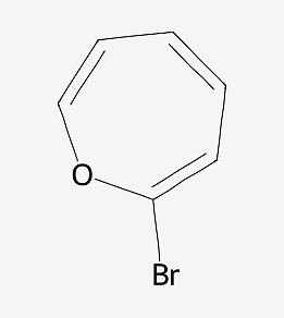 BrC1=CC=CC=CO1